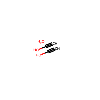 C#CO.C#CO.O